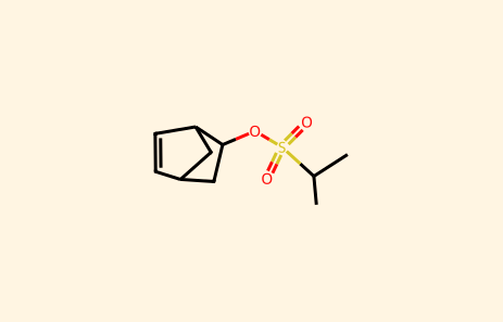 CC(C)S(=O)(=O)OC1CC2C=CC1C2